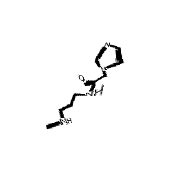 CNCCCNC(=O)Cn1ccnc1